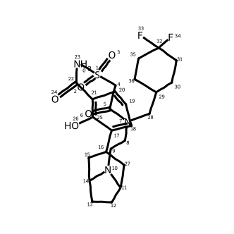 CS(=O)(=O)CC(=O)N(CCN1C2CCC1CC(c1cccc(C(N)=O)c1O)C2)CC1CCC(F)(F)CC1